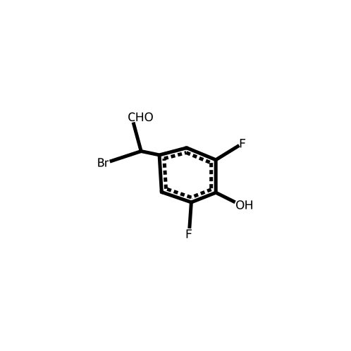 O=CC(Br)c1cc(F)c(O)c(F)c1